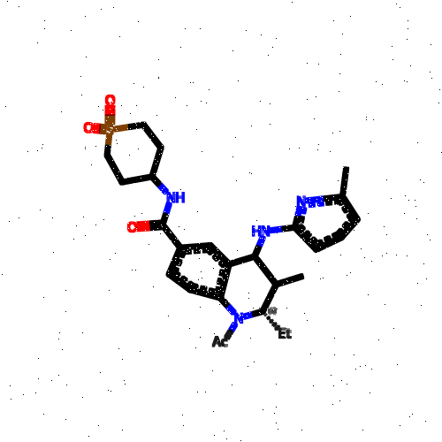 CC[C@H]1C(C)C(Nc2cccc(C)n2)c2cc(C(=O)NC3CCS(=O)(=O)CC3)ccc2N1C(C)=O